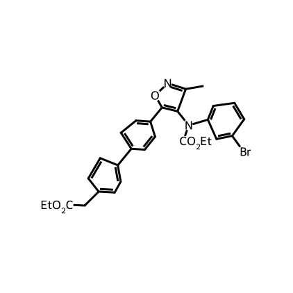 CCOC(=O)Cc1ccc(-c2ccc(-c3onc(C)c3N(C(=O)OCC)c3cccc(Br)c3)cc2)cc1